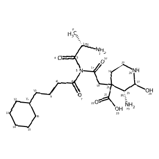 C[C@H](N)C(=O)N(C(=O)CCCC1CCCCC1)C(=O)CC1(C(=O)O)CCNC(O)[C@@H]1N